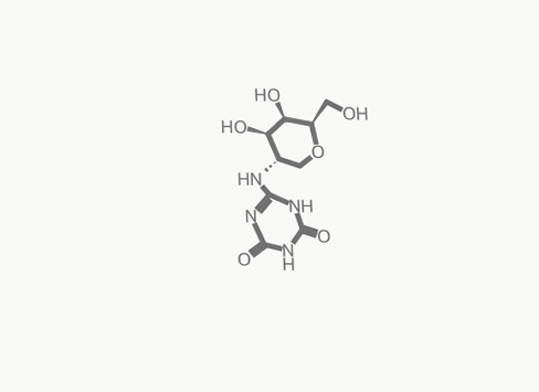 O=c1nc(N[C@H]2CO[C@H](CO)[C@H](O)[C@@H]2O)[nH]c(=O)[nH]1